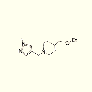 CCOCC1CCN(Cc2cnn(C)c2)CC1